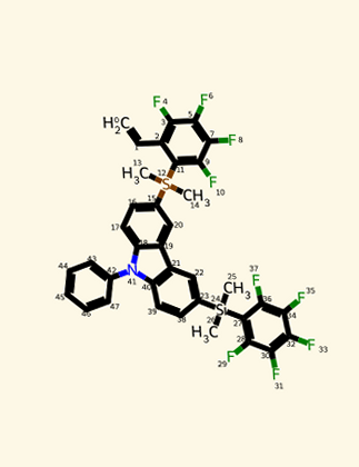 C=Cc1c(F)c(F)c(F)c(F)c1S(C)(C)c1ccc2c(c1)c1cc([Si](C)(C)c3c(F)c(F)c(F)c(F)c3F)ccc1n2-c1ccccc1